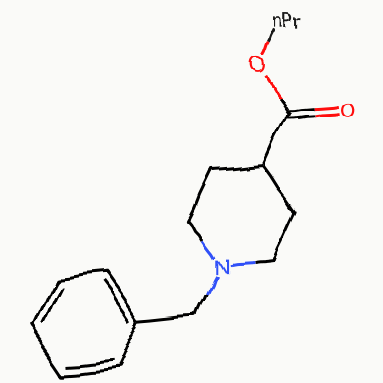 CCCOC(=O)C1CCN(Cc2ccccc2)CC1